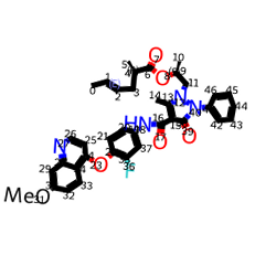 C/C=C/C[C@@H](C)C(=O)O[C@@H](C)Cn1c(C)c(C(=O)Nc2ccc(Oc3ccnc4cc(OC)ccc34)c(F)c2)c(=O)n1-c1ccccc1